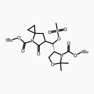 CC(C)(C)OC(=O)N1C(=O)C(C(OS(C)(=O)=O)[C@H]2COC(C)(C)N2C(=O)OC(C)(C)C)CC12CC2